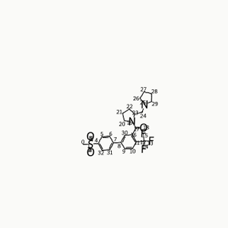 CS(=O)(=O)c1ccc(-c2ccc(C(F)(F)F)c(C(=O)N3CCC[C@H]3CN3CCCC3)c2)cc1